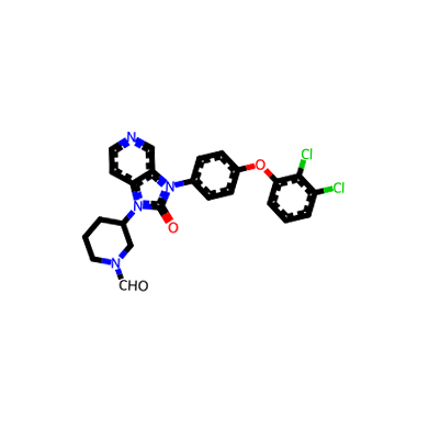 O=CN1CCCC(n2c(=O)n(-c3ccc(Oc4cccc(Cl)c4Cl)cc3)c3cnccc32)C1